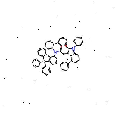 c1ccc(-c2ccccc2N(c2ccc3c(c2)c2c(-c4ccccc4)cccc2n3-c2ccccc2)c2cccc3c2-c2ccccc2C3(c2ccccc2)c2ccccc2)cc1